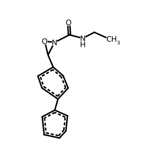 CCNC(=O)N1OC1c1ccc(-c2ccccc2)cc1